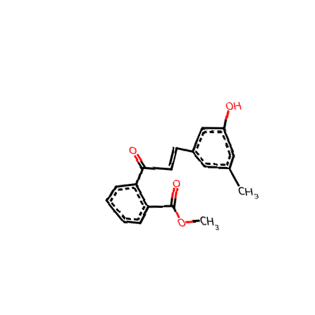 COC(=O)c1ccccc1C(=O)/C=C/c1cc(C)cc(O)c1